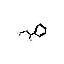 BO[CH]([Cu])c1ccccc1